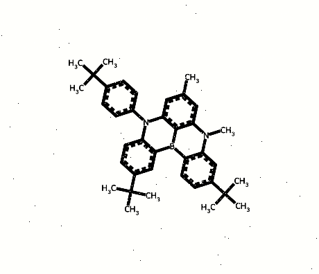 Cc1cc2c3c(c1)N(c1ccc(C(C)(C)C)cc1)c1ccc(C(C)(C)C)cc1B3c1ccc(C(C)(C)C)cc1N2C